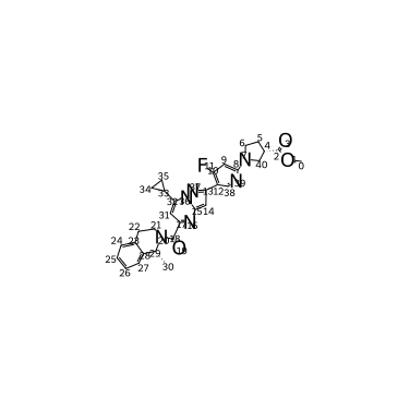 COC(=O)[C@H]1CCN(c2cc(F)c(-c3cc4nc(C(=O)N5CCc6ccccc6[C@H]5C)cc(C5CC5)n4n3)cn2)C1